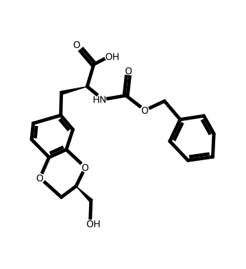 O=C(N[C@@H](Cc1ccc2c(c1)O[C@@H](CO)CO2)C(=O)O)OCc1ccccc1